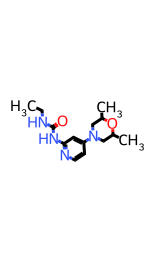 CCNC(=O)Nc1cc(N2CC(C)OC(C)C2)ccn1